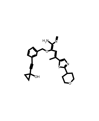 C=N/C(N)=C(\C=C(/C)c1cnc(C2CCOCC2)s1)OCc1cccc(C#CC2(O)CC2)c1